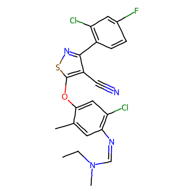 CCN(C)/C=N\c1cc(C)c(Oc2snc(-c3ccc(F)cc3Cl)c2C#N)cc1Cl